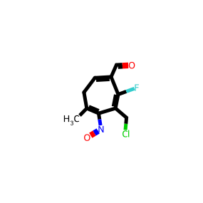 CC1=C(N=O)C(CCl)=C(F)C(C=O)=CC1